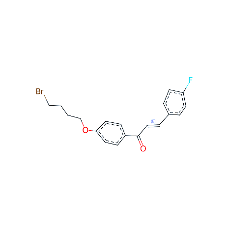 O=C(/C=C/c1ccc(F)cc1)c1ccc(OCCCCBr)cc1